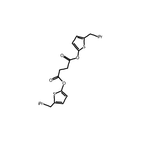 CC(C)Cc1ccc(OC(=O)CCC(=O)Oc2ccc(CC(C)C)s2)s1